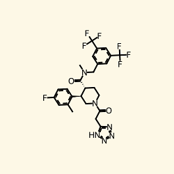 Cc1cc(F)ccc1[C@@H]1CN(C(=O)Cc2nnn[nH]2)CC[C@H]1C(=O)N(C)Cc1cc(C(F)(F)F)cc(C(F)(F)F)c1